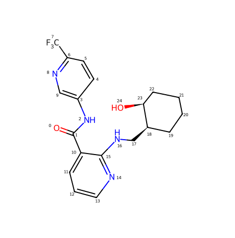 O=C(Nc1ccc(C(F)(F)F)nc1)c1cccnc1NC[C@@H]1CCCC[C@@H]1O